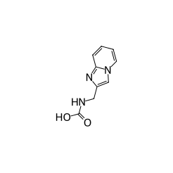 O=C(O)NCc1cn2ccccc2n1